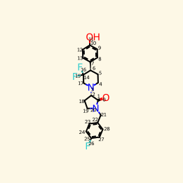 O=C1[C@@H](N2CC[C@H](c3ccc(O)cc3)C(F)(F)C2)CCN1Cc1ccc(F)cc1